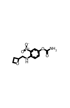 NC(=O)Oc1ccc(NCC2CCO2)c([N+](=O)[O-])c1